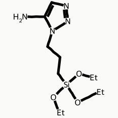 CCO[Si](CCCn1nncc1N)(OCC)OCC